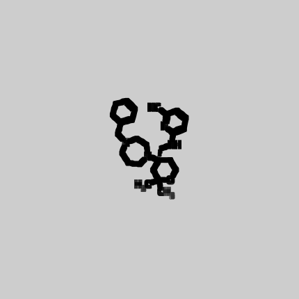 CC1(C)C[C@@](CNc2cccc(C#N)n2)(N2CCCN(CC3=CC=CCC3)CC2)CCO1